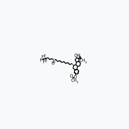 CC(=O)Oc1ccc2c(c1)C[C@@H](CCCCCCCCC[S+]([O-])CCCC(F)(F)C(F)(F)F)C1C2CC[C@@]2(C)C1C[C@@H](O)C21CC1